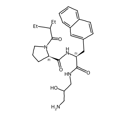 CCC(CC)C(=O)N1CCC[C@@H]1C(=O)N[C@@H](Cc1ccc2ccccc2c1)C(=O)NCC(O)CN